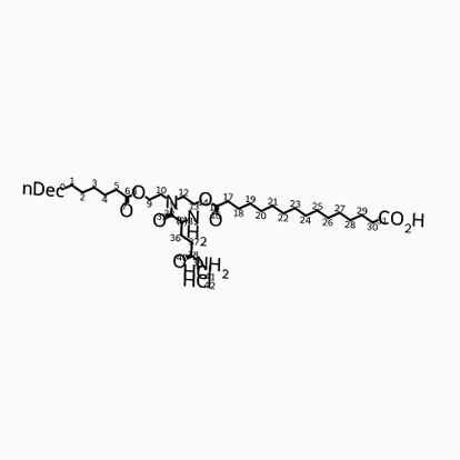 CCCCCCCCCCCCCCCC(=O)OCCN(CCOC(=O)CCCCCCCCCCCCCCC(=O)O)C(=O)[C@@H](N)CCC(N)=O.Cl.Cl